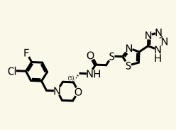 O=C(CSc1nc(-c2nnn[nH]2)cs1)NC[C@H]1CN(Cc2ccc(F)c(Cl)c2)CCO1